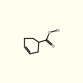 CCOC(=O)C1CC=[C]CC1